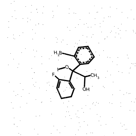 Bc1ccccc1C(OI)(C1=CCCC=C1F)C(C)O